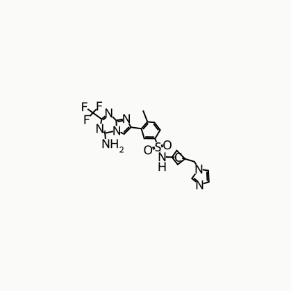 Cc1ccc(S(=O)(=O)NC23CC(Cn4ccnc4)(C2)C3)cc1-c1cn2c(N)nc(C(F)(F)F)nc2n1